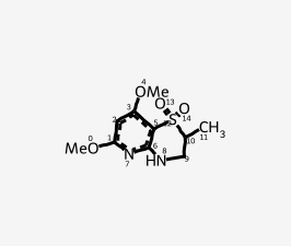 COc1cc(OC)c2c(n1)NCC(C)S2(=O)=O